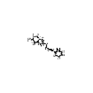 Fc1ccc2sc(CCC#Cc3ccccn3)nc2c1